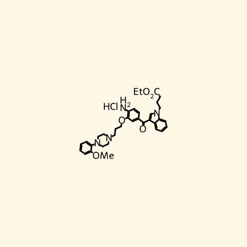 CCOC(=O)CCCn1cc(C(=O)c2ccc(N)c(OCCCN3CCN(c4ccccc4OC)CC3)c2)c2ccccc21.Cl